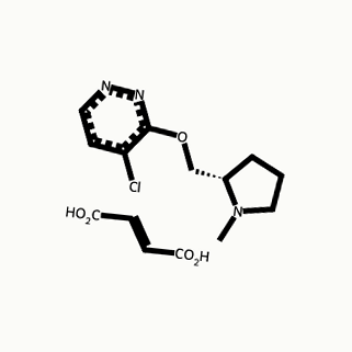 CN1CCC[C@H]1COc1nnccc1Cl.O=C(O)/C=C/C(=O)O